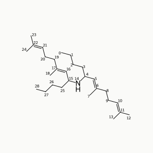 CCCCC(/C=C(\C)CCC=C(C)C)NC(/C=C(\C)CCC=C(C)C)CCCC